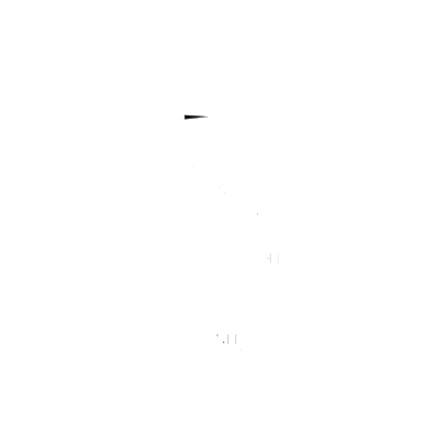 CO[C@H]1CCCC[C@@H]1S(=O)(=O)c1c(Cl)ccc(N)c1O